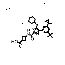 CC(C)(C)c1cc(-c2nc(C(=O)NC3CC(C(=O)O)C3)sc2CC2CCCCC2)cc(C2(C)CC2)c1